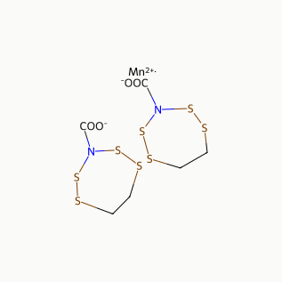 O=C([O-])N1SSCCSS1.O=C([O-])N1SSCCSS1.[Mn+2]